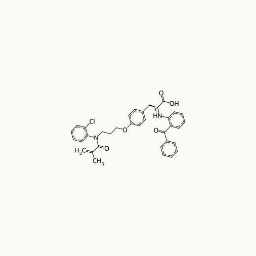 C=C(C)C(=O)N(CCCOc1ccc(C[C@H](Nc2ccccc2C(=O)c2ccccc2)C(=O)O)cc1)c1ccccc1Cl